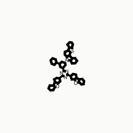 c1ccc(-c2cc(-c3nc(-c4ccc5c(c4)oc4ccccc45)nc(-c4ccc5c(c4)oc4ccccc45)n3)cc(-n3c4ccccc4c4c5sc6ccccc6c5ccc43)c2)cc1